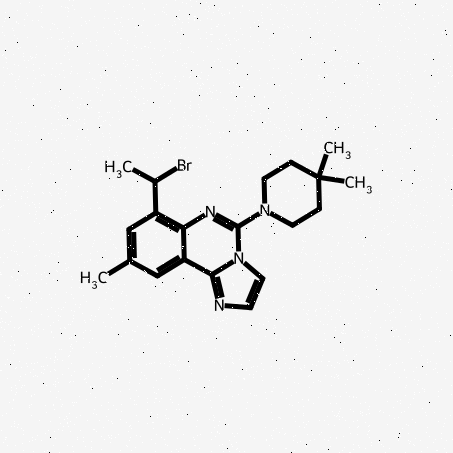 Cc1cc(C(C)Br)c2nc(N3CCC(C)(C)CC3)n3ccnc3c2c1